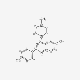 CN1CCN(c2nc(-c3ccc(Cl)cc3)nc3ccc(Cl)cc23)CC1